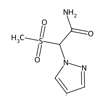 CS(=O)(=O)C(C(N)=O)n1c[c]cn1